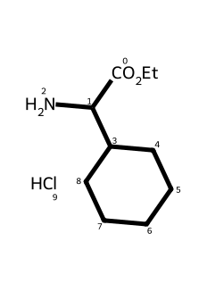 CCOC(=O)C(N)C1CCCCC1.Cl